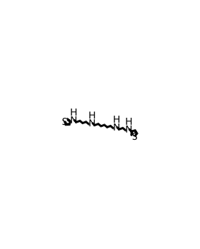 c1cc(NCCCCCNCCCCCCCNCCCNc2ccsc2)cs1